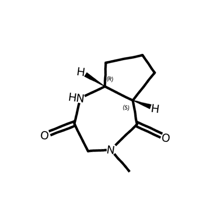 CN1CC(=O)N[C@@H]2CCC[C@@H]2C1=O